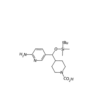 CC(C)(C)[Si](C)(C)OC(c1ccc(N)nc1)C1CCN(C(=O)O)CC1